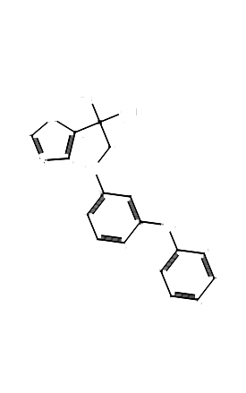 CC(C)(C)C(O)(CSc1cccc(Oc2ccccc2)c1)c1cncs1